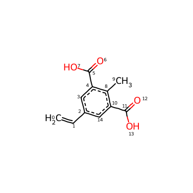 C=Cc1cc(C(=O)O)c(C)c(C(=O)O)c1